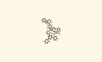 CC1(C)c2ccccc2-c2cc3c4cc(-c5cccc6c5oc5ccccc56)ccc4n(-c4cccc(-c5nc(-c6ccccc6)cc(-c6ccccc6)n5)c4)c3cc21